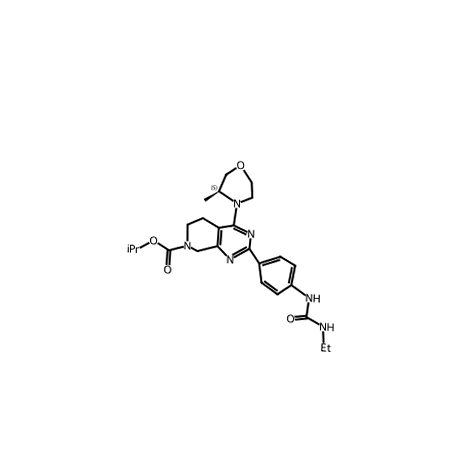 CCNC(=O)Nc1ccc(-c2nc3c(c(N4CCOC[C@@H]4C)n2)CCN(C(=O)OC(C)C)C3)cc1